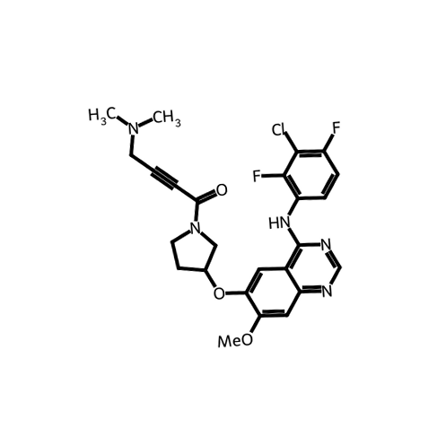 COc1cc2ncnc(Nc3ccc(F)c(Cl)c3F)c2cc1OC1CCN(C(=O)C#CCN(C)C)C1